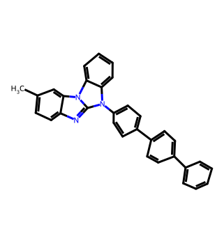 Cc1ccc2nc3n(-c4ccc(-c5ccc(-c6ccccc6)cc5)cc4)c4ccccc4n3c2c1